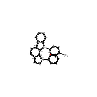 Nc1ccc(-n2c3ccccc3c3ccc4ccn(-c5ccccc5)c4c32)cc1